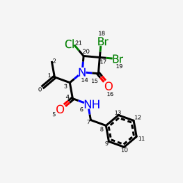 C=C(C)C(C(=O)NCc1ccccc1)N1C(=O)C(Br)(Br)C1Cl